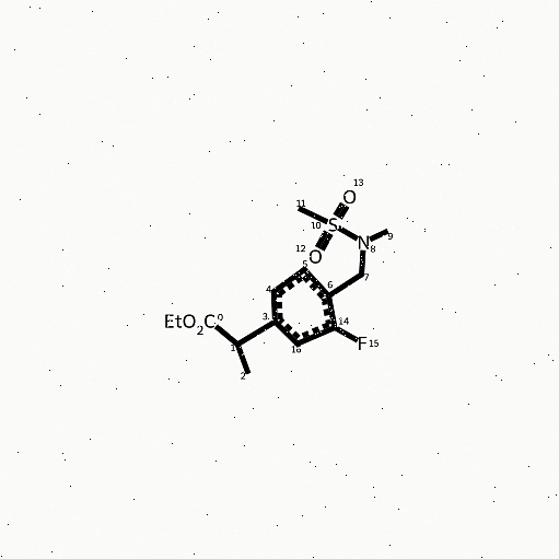 CCOC(=O)C(C)c1ccc(CN(C)S(C)(=O)=O)c(F)c1